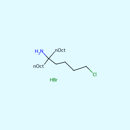 Br.CCCCCCCCC(N)(CCCCCl)CCCCCCCC